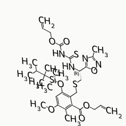 C=CCOC(=O)NC(=S)N[C@@H](CSCc1c(O[Si](C)(C)C(C)(C)C(C)C)cc(OC)c(C)c1C(=O)OCC=C)c1nc(C)no1